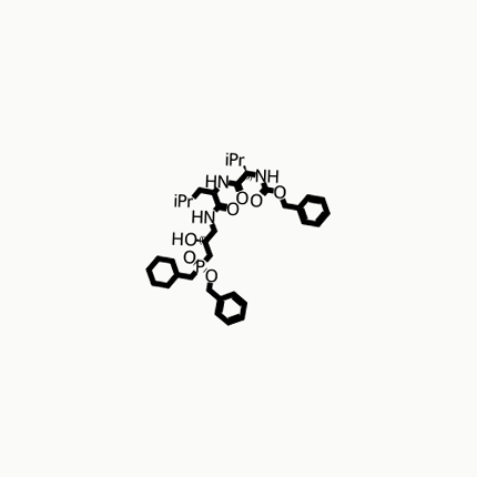 CC(C)CC(NC(=O)[C@@H](NC(=O)OCc1ccccc1)C(C)C)C(=O)NC[C@@H](O)CP(=O)(CC1CCCCC1)OCc1ccccc1